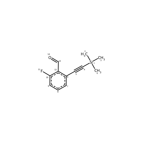 C[Si](C)(C)C#Cc1cccc(F)c1C=O